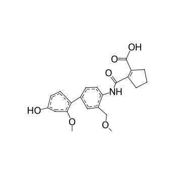 COCc1cc(-c2ccc(O)cc2OC)ccc1NC(=O)C1=C(C(=O)O)CCC1